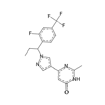 CCC(c1ccc(C(F)(F)F)cc1F)n1cc(-c2cc(=O)[nH]c(C)n2)cn1